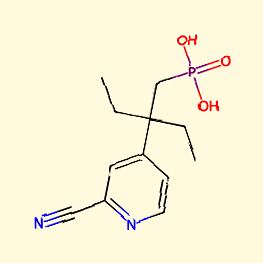 CCC(CC)(CP(=O)(O)O)c1ccnc(C#N)c1